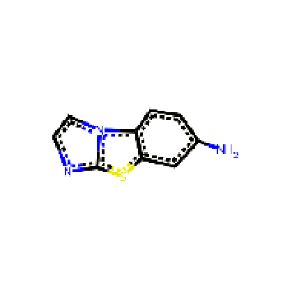 Nc1ccc2c(c1)sc1nccn12